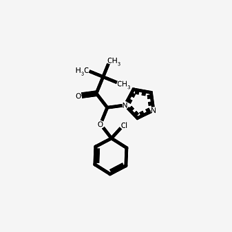 CC(C)(C)C(=O)C(OC1(Cl)C=CC=CC1)n1ccnc1